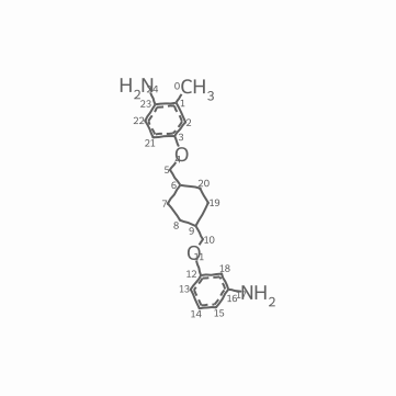 Cc1cc(OCC2CCC(COc3cccc(N)c3)CC2)ccc1N